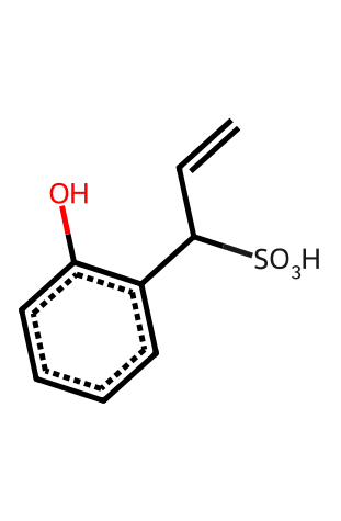 C=CC(c1ccccc1O)S(=O)(=O)O